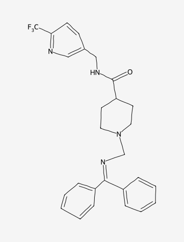 O=C(NCc1ccc(C(F)(F)F)nc1)C1CCN(CN=C(c2ccccc2)c2ccccc2)CC1